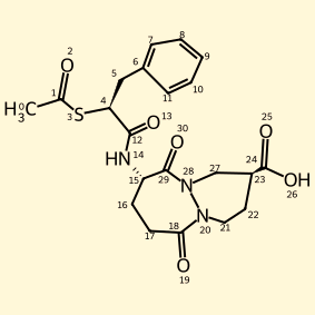 CC(=O)S[C@@H](Cc1ccccc1)C(=O)N[C@H]1CCC(=O)N2CC[C@H](C(=O)O)CN2C1=O